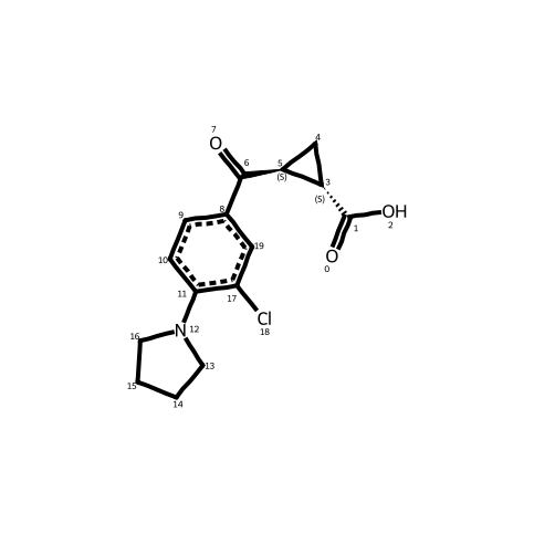 O=C(O)[C@H]1C[C@@H]1C(=O)c1ccc(N2CCCC2)c(Cl)c1